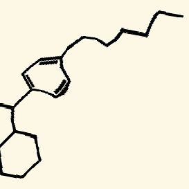 CCCCCCc1ccc(C(C)C2CCCCC2)cc1